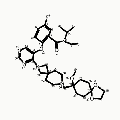 CCN(C(=O)c1cc(F)ccc1Oc1cncnc1N1CC2(CCN(CC3(OC)CCC4(CC3)OCCO4)CC2)C1)C(C)C